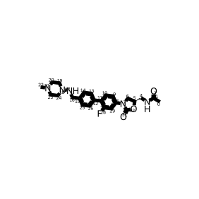 CC(=O)NC[C@H]1CN(c2ccc(-c3ccc(CNN4CCN(C)CC4)cc3)c(F)c2)C(=O)O1